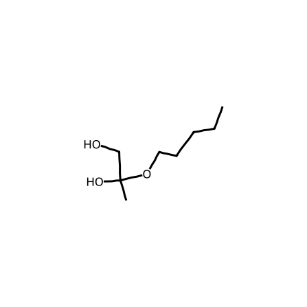 CCCCCOC(C)(O)CO